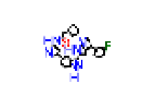 O=C(CC1CCCCC1)Nc1cncc(-c2ccc3[nH]nc(-c4cc5c(-c6cccc(F)c6)ccnc5[nH]4)c3c2)c1